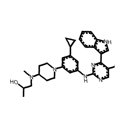 CC(O)CN(C)C1CCN(c2cc(Nc3ncc(Cl)c(-c4c[nH]c5ccccc45)n3)cc(C3CC3)c2)CC1